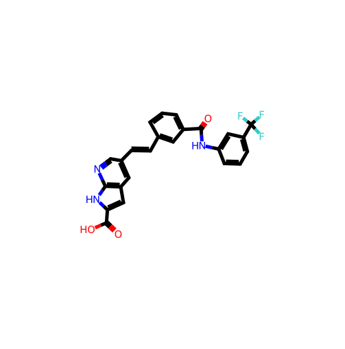 O=C(Nc1cccc(C(F)(F)F)c1)c1cccc(C=Cc2cnc3[nH]c(C(=O)O)cc3c2)c1